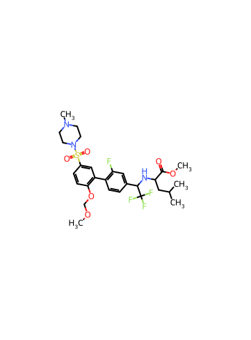 COCOc1ccc(S(=O)(=O)N2CCN(C)CC2)cc1-c1ccc(C(NC(CC(C)C)C(=O)OC)C(F)(F)F)cc1F